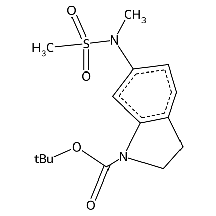 CN(c1ccc2c(c1)N(C(=O)OC(C)(C)C)CC2)S(C)(=O)=O